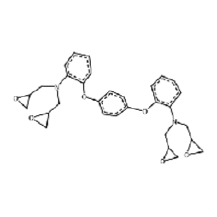 c1ccc(N(CC2CO2)CC2CO2)c(Oc2ccc(Oc3ccccc3N(CC3CO3)CC3CO3)cc2)c1